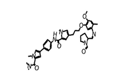 COc1cc(C)c(/N=C\C2CCCN2C=O)cc1OCCCc1cc(C(=O)Nc2ccc(-c3cc(C(=O)N(C)C)n(C)c3)cc2)n(C)c1